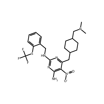 CN(C)CC1CCC(Cc2nc(NCc3ccccc3SC(F)(F)F)nc(N)c2[N+](=O)[O-])CC1